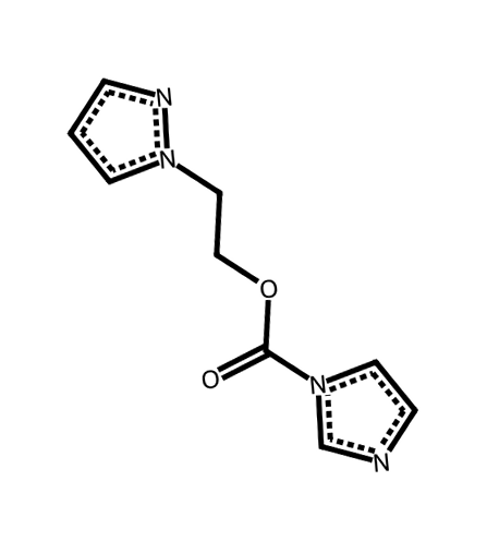 O=C(OCCn1cccn1)n1ccnc1